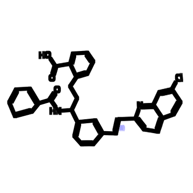 O=C(NC(CCc1ccccc1C(=O)O)c1cccc(/C=C/c2ccc3ccc(Cl)cc3n2)c1)c1ccccc1